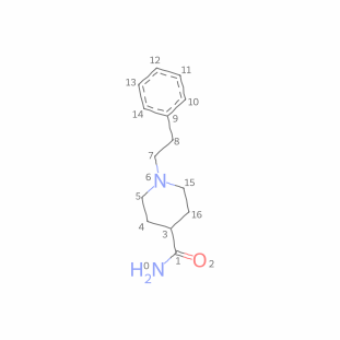 NC(=O)C1CCN(CCc2ccccc2)CC1